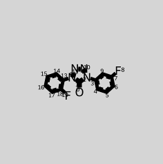 O=c1n(-c2cccc(F)c2)nnn1-c1ccccc1F